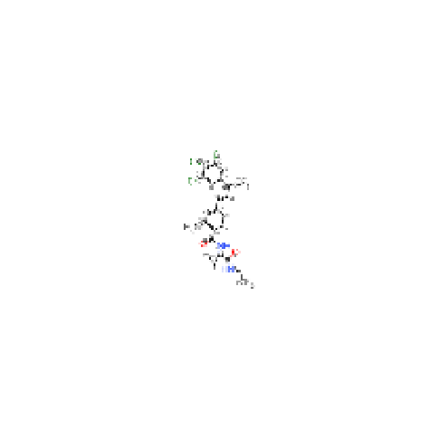 O=C(NC1(C(=O)NCC(F)(F)F)CC1)c1ccc(C=C[C@@H](c2cc(Cl)c(Cl)c(Cl)c2)C(F)(F)F)cc1C(F)(F)F